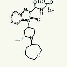 CC[C@@H]1C[C@H](n2c(=O)c(C(=O)NP(=O)(O)O)nc3ccccc32)CCN1C1CCCCCCC1